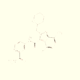 Cc1ccc(F)c2c(C(=O)Nc3ccnc(C(N)=O)c3)n(CC3CCCCO3)nc12